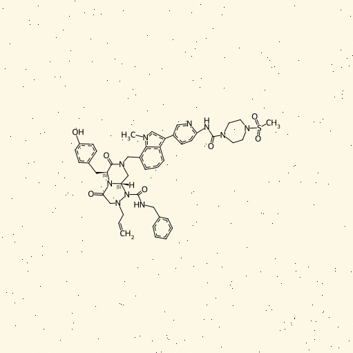 C=CCN1CC(=O)N2[C@@H](Cc3ccc(O)cc3)C(=O)N(Cc3cccc4c(-c5ccc(NC(=O)N6CCN(S(C)(=O)=O)CC6)nc5)cn(C)c34)C[C@@H]2N1C(=O)NCc1ccccc1